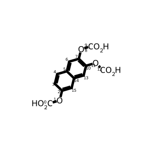 O=C(O)Oc1ccc2cc(OC(=O)O)c(OC(=O)O)cc2c1